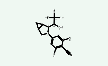 N#Cc1c(F)cc(N2CC3CC3C2C(O)C(F)(F)F)cc1Cl